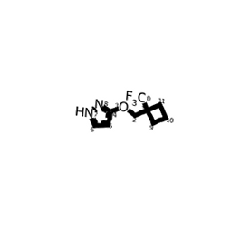 FC(F)(F)C1(COc2cc[nH]n2)CCC1